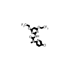 CN(C(=O)Nc1nc(OCC(F)(F)F)cc(OCC(F)(F)F)n1)c1ccc(Cl)cn1